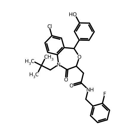 CC(C)(C)CN1C(=O)C(CC(=O)NCc2ccccc2F)OC(c2cccc(O)c2)c2cc(Cl)ccc21